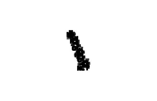 Cc1c([C@@H]2CN3CCN(C(=O)Cc4cnc(-n5cnnn5)nc4)C[C@@H]3CO2)ccc(F)c1C#N